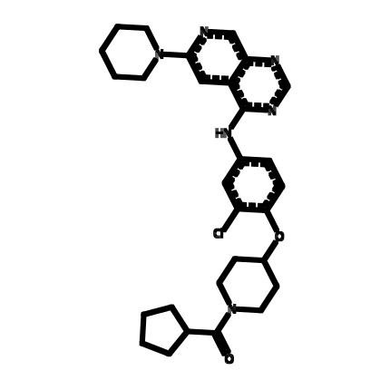 O=C(C1CCCC1)N1CCC(Oc2ccc(Nc3ncnc4cnc(N5CCCCC5)cc34)cc2Cl)CC1